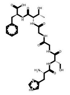 C[C@@H](O)[C@H](NC(=O)CNC(=O)CNC(=O)[C@H](CO)NC(=O)[C@@H](N)Cc1c[nH]cn1)C(=O)N[C@@H](Cc1ccccc1)C(=O)O